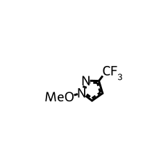 COn1ccc(C(F)(F)F)n1